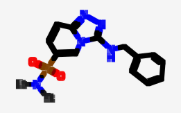 CCN(CC)S(=O)(=O)c1ccc2nnc(NCc3ccccc3)n2c1